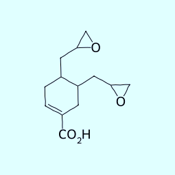 O=C(O)C1=CCC(CC2CO2)C(CC2CO2)C1